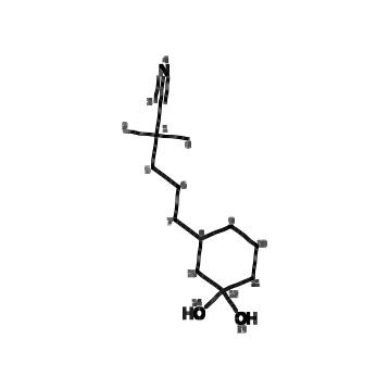 CC(C)(C#N)CCCC1CCCC(O)(O)C1